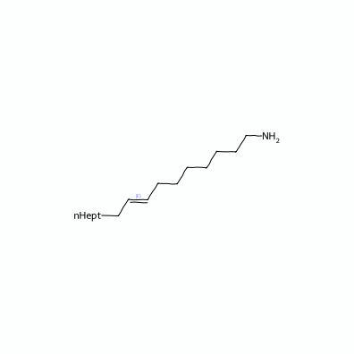 CCCCCCCC/C=C/CCCCCCCN